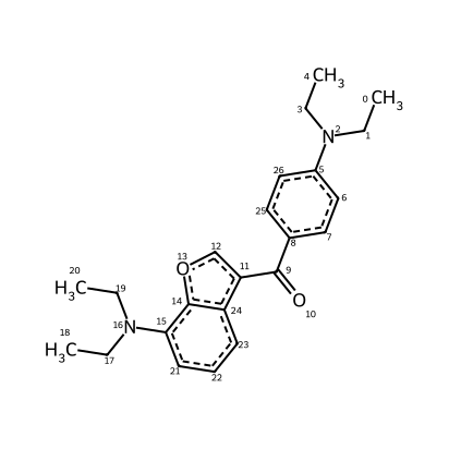 CCN(CC)c1ccc(C(=O)c2coc3c(N(CC)CC)cccc23)cc1